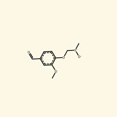 COc1cc(C=O)ccc1OC[S+](C)[O-]